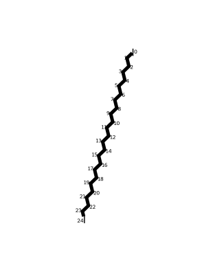 ICCCCCCCCCCCCCCCCCCCCCCCI